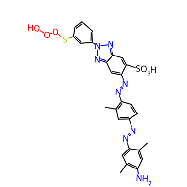 Cc1cc(N=Nc2ccc(N=Nc3cc4nn(-c5cccc(SOOO)c5)nc4cc3S(=O)(=O)O)c(C)c2)c(C)cc1N